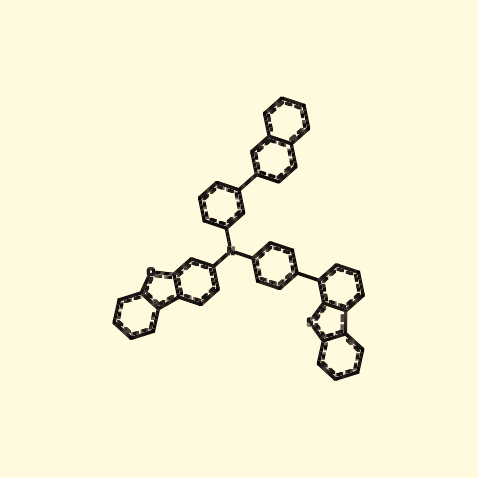 c1cc(-c2ccc3ccccc3c2)cc(N(c2ccc(-c3cccc4c3sc3ccccc34)cc2)c2ccc3c(c2)oc2ccccc23)c1